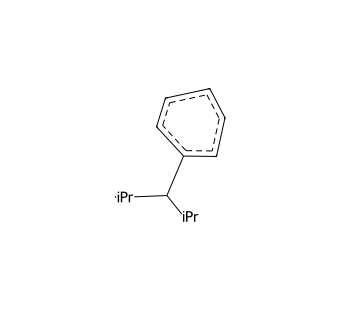 C[C](C)C(c1ccccc1)C(C)C